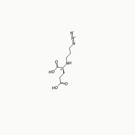 [N-]=[N+]=NCCCN[C@@H](CCC(=O)O)C(=O)O